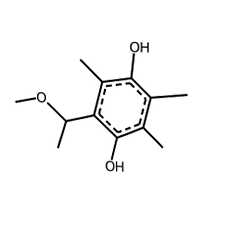 COC(C)c1c(C)c(O)c(C)c(C)c1O